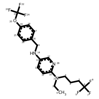 CCN(CCCC(F)(F)F)c1ccc(NCc2ccc(OC(F)(F)F)cc2)cn1